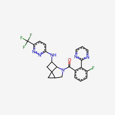 O=C(c1cccc(F)c1-c1ncccn1)N1CC2CC23CC(Nc2ccc(C(F)(F)F)nn2)C13